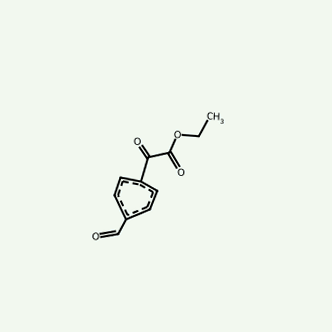 CCOC(=O)C(=O)c1ccc(C=O)cc1